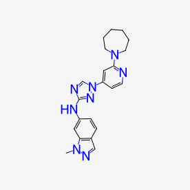 Cn1ncc2ccc(Nc3ncn(-c4ccnc(N5CCCCCC5)c4)n3)cc21